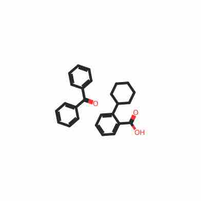 O=C(O)c1ccccc1C1CCCCC1.O=C(c1ccccc1)c1ccccc1